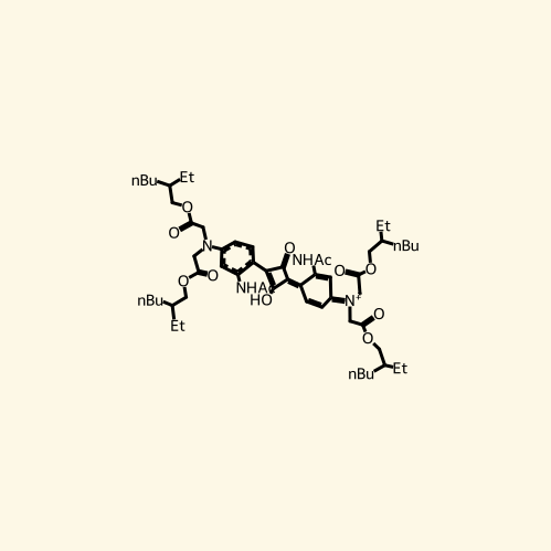 CCCCC(CC)COC(=O)CN(CC(=O)OCC(CC)CCCC)c1ccc(C2=C(O)/C(=C3\C=CC(=[N+](CC(=O)OCC(CC)CCCC)CC(=O)OCC(CC)CCCC)C=C3NC(C)=O)C2=O)c(NC(C)=O)c1